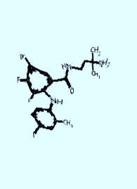 Cc1cc(I)ccc1Nc1c(C(=O)NCCC(C)(C)N)cc(Br)c(F)c1F